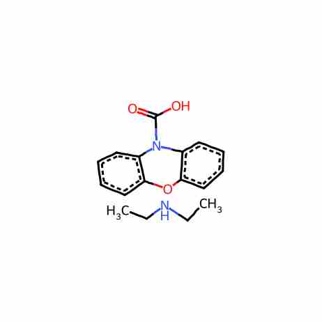 CCNCC.O=C(O)N1c2ccccc2Oc2ccccc21